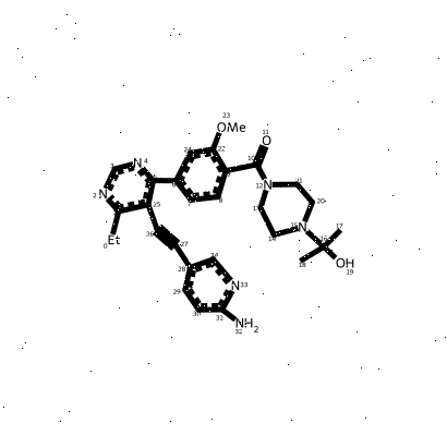 CCc1ncnc(-c2ccc(C(=O)N3CCN(C(C)(C)O)CC3)c(OC)c2)c1C#Cc1ccc(N)nc1